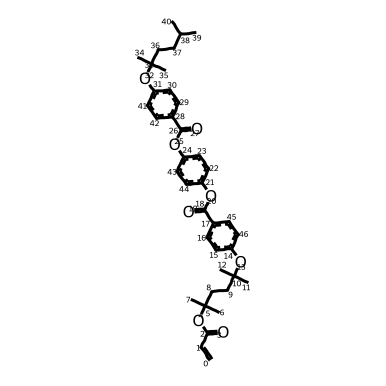 C=CC(=O)OC(C)(C)CCC(C)(C)Oc1ccc(C(=O)Oc2ccc(OC(=O)c3ccc(OC(C)(C)CCC(C)C)cc3)cc2)cc1